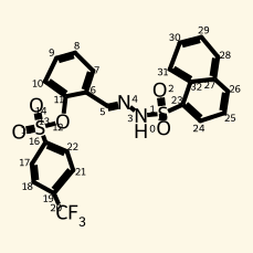 O=S(=O)(NN=Cc1ccccc1OS(=O)(=O)c1ccc(C(F)(F)F)cc1)c1cccc2ccccc12